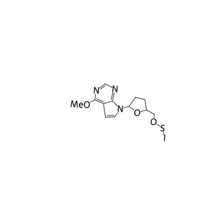 COc1ncnc2c1ccn2C1CCC(COSI)O1